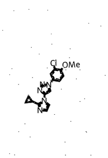 COc1ccc(-n2cc(-n3ccnc3C3CC3)nn2)cc1Cl